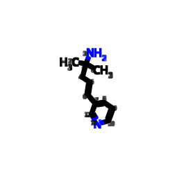 CC(C)(N)CC=Cc1cccnc1